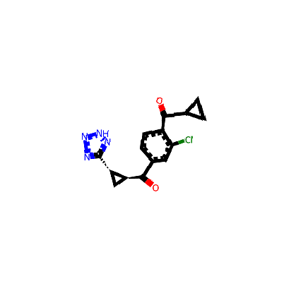 O=C(c1ccc(C(=O)[C@H]2C[C@@H]2c2nn[nH]n2)cc1Cl)C1CC1